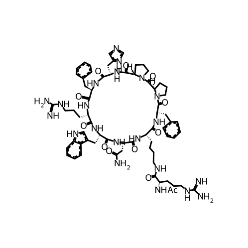 CC(=O)N[C@@H](CCCNC(=N)N)C(=O)NCCCC[C@@H]1NC(=O)[C@H](CC(N)=O)NC(=O)[C@H](Cc2c[nH]c3ccccc23)NC(=O)[C@H](CCCNC(=N)N)NC(=O)[C@@H](Cc2ccccc2)NC(=O)[C@H](Cc2cnc[nH]2)NC(=O)[C@@H]2CCCN2C(=O)[C@H]2CCCN2C(=O)[C@H](Cc2ccccc2)NC1=O